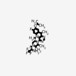 C=C(c1cc(N2CCN(/N=C(\N)C(F)(F)F)C(=C)C2C)ncn1)c1cc(OC(C)C)c(F)cc1NN